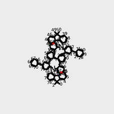 CC1(C)c2ccccc2-c2c(-n3c4ccccc4c4cccc5c6cc(-c7ccccc7)ccc6n(-c6cccc7c6-c6ccccc6C7(C)C)c6ccccc6c6cccc(c7cc(-c8ccccc8)ccc73)c6c45)cccc21